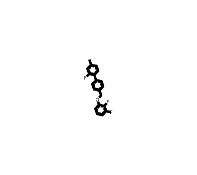 Cc1ccc(-c2ccc(COc3cccc(F)c3F)cc2)c(F)c1